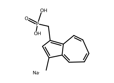 Cc1cc(CP(=O)(O)O)c2cccccc1-2.[Na]